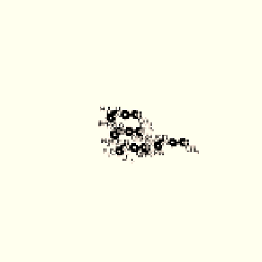 COc1cc(NC(=O)C(C)c2cc(C(F)(F)F)cc(C(F)(F)F)c2)ccc1-c1ccnc(C)c1.COc1cc(NC(=O)C(C)c2ccc(N)cc2)ccc1-c1ccnc(C)c1.Cc1cc(-c2ccc(NC(=O)C(C)c3ccc(NC(C)C)cc3)cc2)ccn1.Cc1cc(-c2ccc(NC(=O)[C@@H](C)c3ccc(NC(C)C)cc3)cc2)ccn1